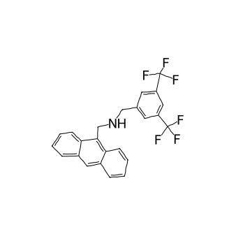 FC(F)(F)c1cc(CNCc2c3ccccc3cc3ccccc23)cc(C(F)(F)F)c1